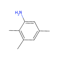 Cc1cc(C)c(C)c(N)c1